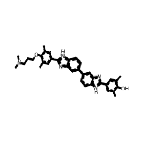 Cc1cc(-c2nc3cc(-c4ccc5[nH]c(-c6cc(C)c(OCCCN(C)C)c(C)c6)nc5c4)ccc3[nH]2)cc(C)c1O